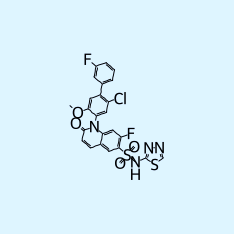 COc1cc(-c2cccc(F)c2)c(Cl)cc1-n1c(=O)ccc2cc(S(=O)(=O)Nc3nncs3)c(F)cc21